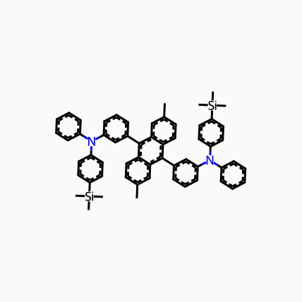 Cc1ccc2c(-c3cccc(N(c4ccccc4)c4ccc([Si](C)(C)C)cc4)c3)c3cc(C)ccc3c(-c3cccc(N(c4ccccc4)c4ccc([Si](C)(C)C)cc4)c3)c2c1